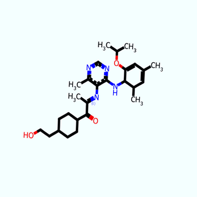 CC1=CC(C)C(Nc2ncnc(C)c2/N=C(\C)C(=O)C2CCC(CCO)CC2)C(OC(C)C)=C1